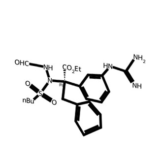 CCCCS(=O)(=O)N(NC=O)[C@@](Cc1ccccc1)(C(=O)OCC)c1cccc(NC(=N)N)c1